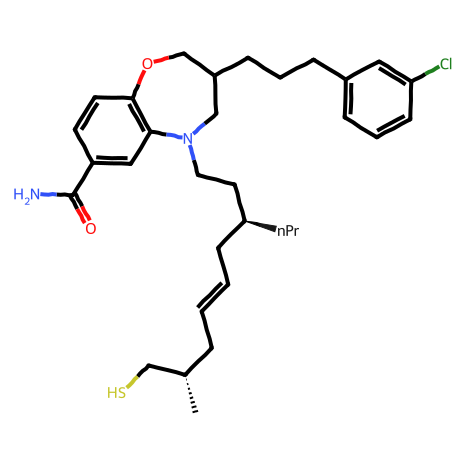 CCC[C@@H](C/C=C/C[C@H](C)CS)CCN1CC(CCCc2cccc(Cl)c2)COc2ccc(C(N)=O)cc21